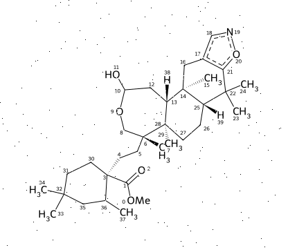 COC(=O)[C@]1(CC[C@]2(C)COC(O)C[C@@H]3[C@@]4(C)Cc5cnoc5C(C)(C)[C@@H]4CC[C@]32C)CCC(C)(C)CC1C